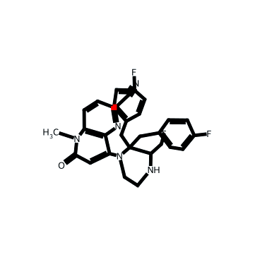 Cn1c(=O)cc(N2CCNC(CF)C2(Cc2ccc(F)cc2)Cc2ccc(F)cc2)c2nc(C#N)ccc21